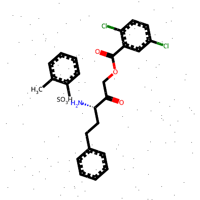 Cc1ccccc1S(=O)(=O)O.N[C@@H](CCc1ccccc1)C(=O)COC(=O)c1cc(Cl)ccc1Cl